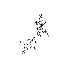 CC1CC2(C)C(OC(=O)CCC(=O)OCC(=O)C3(O)C(C)CC4C5CCC6=CC(=O)C=CC6(C)C5(F)C(O)CC43C)CCC2C2C(C)CC3=CC(=O)CCC3C12